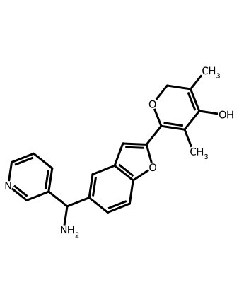 CC1=C(O)C(C)=C(c2cc3cc(C(N)c4cccnc4)ccc3o2)OC1